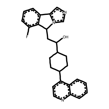 OC(CC1c2c(F)cccc2-c2cncn21)C1CCC(c2ccnc3ccccc23)CC1